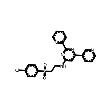 O=S(=O)(CCNc1cc(-c2cccnc2)nc(-c2ccccn2)n1)c1ccc(Cl)cc1